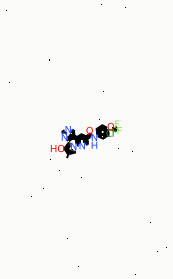 C[C@@H]1CN(c2ncc(C(=O)Nc3ccc(OC(F)(F)Cl)cc3)cc2-c2cncnc2)C[C@@H]1O